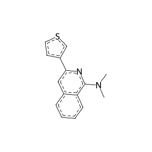 CN(C)c1nc(-c2ccsc2)cc2ccccc12